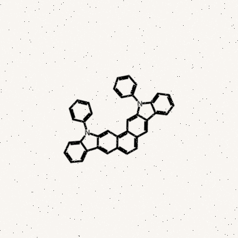 c1ccc(-n2c3ccccc3c3cc4ccc5cc6c7ccccc7n(-c7ccccc7)c6cc5c4cc32)cc1